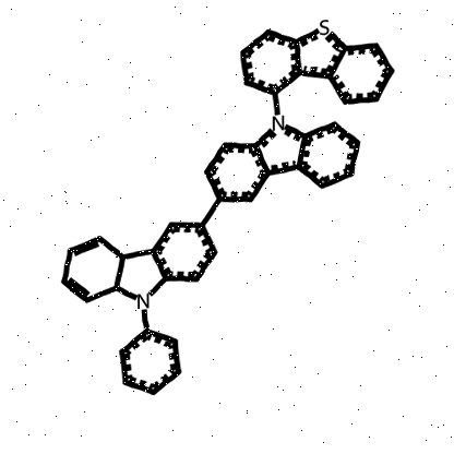 C1=CC2c3cc(-c4ccc5c(c4)c4ccccc4n5-c4cccc5sc6ccccc6c45)ccc3N(c3ccccc3)C2C=C1